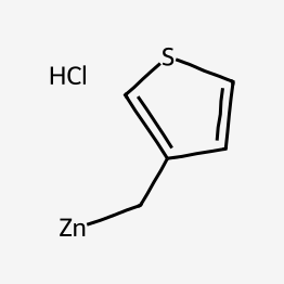 Cl.[Zn][CH2]c1ccsc1